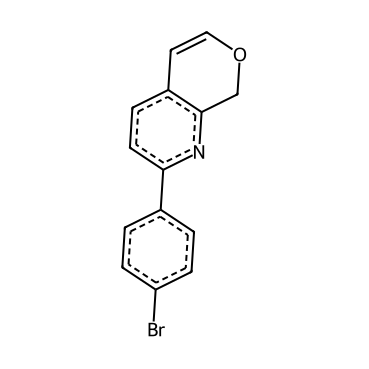 Brc1ccc(-c2ccc3c(n2)COC=C3)cc1